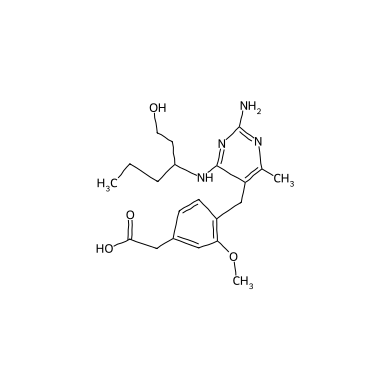 CCCC(CCO)Nc1nc(N)nc(C)c1Cc1ccc(CC(=O)O)cc1OC